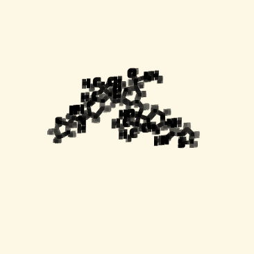 CC(C)(C)C(O)(Cc1cc(CC(O)(c2ccc(NC(=N)c3cccs3)cc2)C(C)(C)C)cc(C(N)=O)c1)c1ccc(NC(=N)c2cccs2)cc1